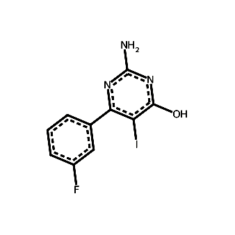 Nc1nc(O)c(I)c(-c2cccc(F)c2)n1